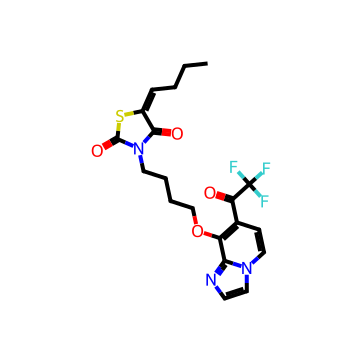 CCCC=C1SC(=O)N(CCCCOc2c(C(=O)C(F)(F)F)ccn3ccnc23)C1=O